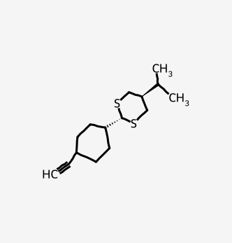 C#CC1CCC([C@H]2SC[C@H](C(C)C)CS2)CC1